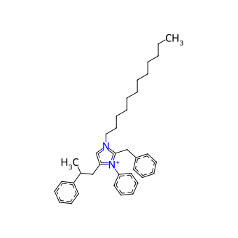 CCCCCCCCCCCCn1cc(CC(C)c2ccccc2)[n+](-c2ccccc2)c1Cc1ccccc1